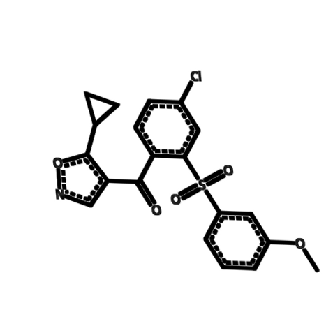 COc1cccc(S(=O)(=O)c2cc(Cl)ccc2C(=O)c2cnoc2C2CC2)c1